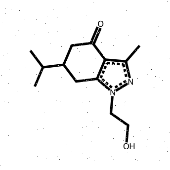 Cc1nn(CCO)c2c1C(=O)CC(C(C)C)C2